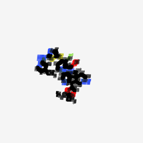 Cc1ccnc(Nc2ncc(Sc3ccnc(C(=O)NCC4(c5cccnc5)CCNCC4C[C@H]4COC(C)(C)O4)c3F)s2)c1